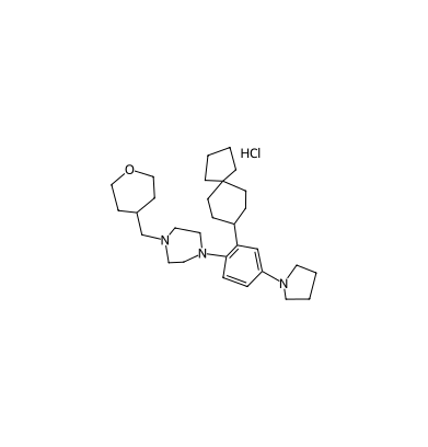 Cl.c1cc(N2CCN(CC3CCOCC3)CC2)c(C2CCC3(CCCC3)CC2)cc1N1CCCC1